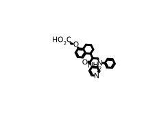 NC(=O)C(CN(c1ccccc1)c1cccnc1)C1CCCc2c(OCC(=O)O)cccc21